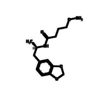 C[C@H](Cc1ccc2c(c1)OCO2)NC(=O)CCCO[N+](=O)[O-]